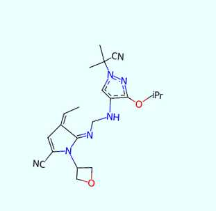 C/C=C1/C=C(C#N)N(C2COC2)/C1=N/CNc1cn(C(C)(C)C#N)nc1OC(C)C